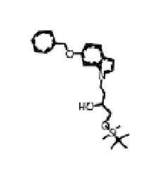 CC(C)(C)[Si](C)(C)OCC(O)CCn1ccc2ccc(OCc3ccccc3)cc21